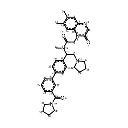 Cc1cc2ncc(=O)n(CC(=O)N(C)C(CN3CCCC3)c3ccc(-c4cccc(C(=O)N5CCCC5)c4)cc3)c2cc1C